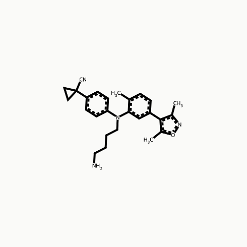 Cc1ccc(-c2c(C)noc2C)cc1N(CCCCN)c1ccc(C2(C#N)CC2)cc1